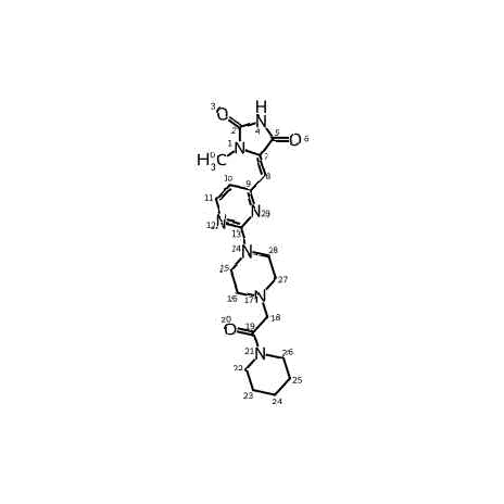 CN1C(=O)NC(=O)/C1=C/c1ccnc(N2CCN(CC(=O)N3CCCCC3)CC2)n1